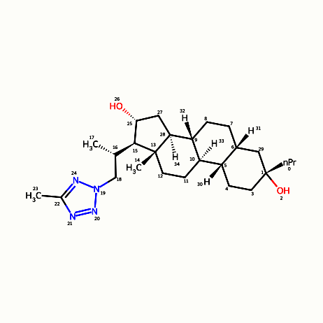 CCC[C@@]1(O)CC[C@H]2[C@H](CC[C@@H]3[C@@H]2CC[C@]2(C)[C@@H]([C@@H](C)Cn4nnc(C)n4)[C@H](O)C[C@@H]32)C1